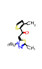 CCCCN1N=C(C)SC1=CC(=O)c1sccc1C